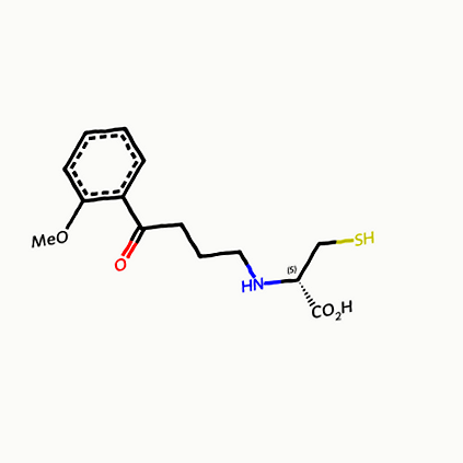 COc1ccccc1C(=O)CCCN[C@H](CS)C(=O)O